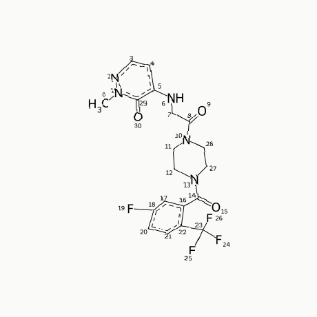 Cn1nccc(NCC(=O)N2CCN(C(=O)c3cc(F)ccc3C(F)(F)F)CC2)c1=O